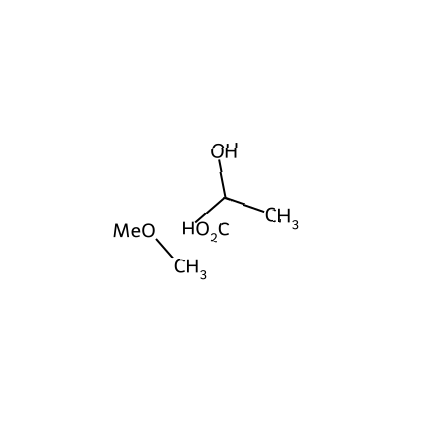 CC(O)C(=O)O.COC